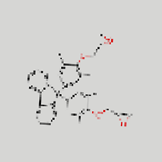 Cc1cc(C2(c3cc(C)c(OCC4CO4)c(C)c3)c3ccccc3-c3ccccc32)cc(C)c1OCC1CO1